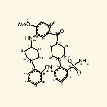 COc1cc(C)c(C(=O)N2CCN(c3ccccc3S(N)(=O)=O)CC2)cc1NC1CCN(c2ccccc2C#N)CC1